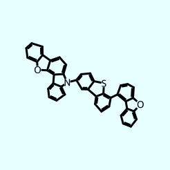 c1ccc2c(c1)oc1c2ccc2c1c1ccccc1n2-c1ccc2sc3c(-c4cccc5oc6ccccc6c45)cccc3c2c1